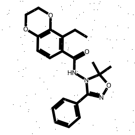 CCc1c(C(=O)NN2C(c3ccccc3)=NOC2(C)C)ccc2c1OCCO2